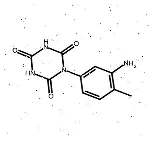 Cc1ccc(-n2c(=O)[nH]c(=O)[nH]c2=O)cc1N